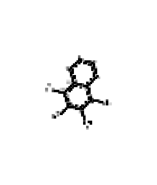 N#Cc1c(C#N)c(Cl)c2ccccc2c1Cl